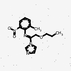 CCCOCC(=Nc1c(C)cccc1[N+](=O)[O-])n1ccnc1